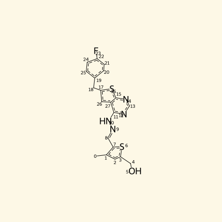 Cc1cc(CO)sc1/C=N/Nc1ncnc2sc(Cc3ccc(F)cc3)cc12